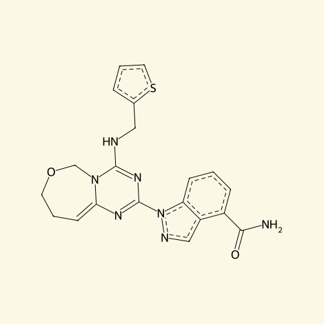 NC(=O)c1cccc2c1cnn2C1=NC2=CCCOCN2C(NCc2cccs2)=N1